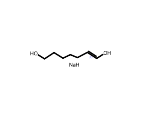 O/C=C/CCCCCO.[NaH]